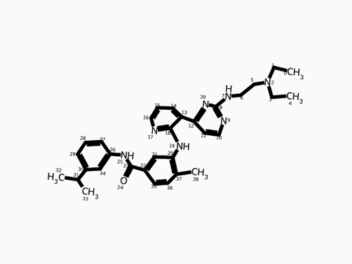 CCN(CC)CCNc1nccc(-c2cccnc2Nc2cc(C(=O)Nc3cccc(C(C)C)c3)ccc2C)n1